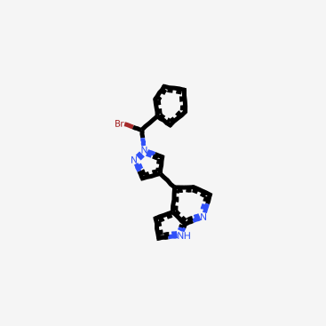 BrC(c1ccccc1)n1cc(-c2ccnc3[nH]ccc23)cn1